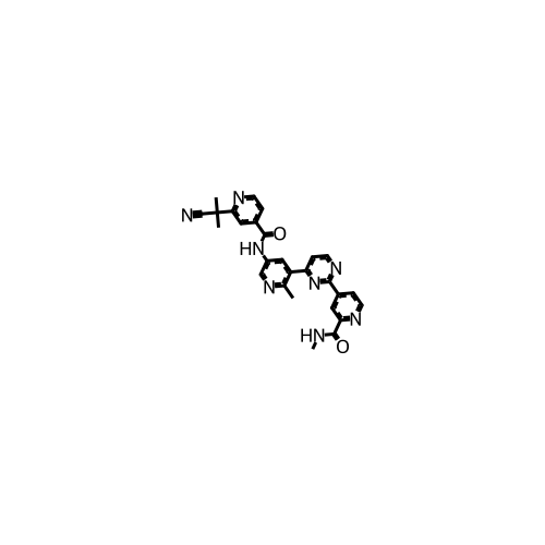 CNC(=O)c1cc(-c2nccc(-c3cc(NC(=O)c4ccnc(C(C)(C)C#N)c4)cnc3C)n2)ccn1